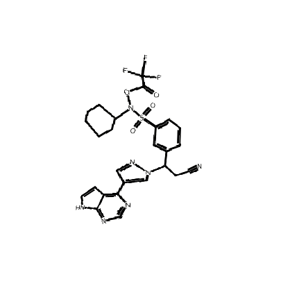 N#CCC(c1cccc(S(=O)(=O)N(OC(=O)C(F)(F)F)C2CCCCC2)c1)n1cc(-c2ncnc3[nH]ccc23)cn1